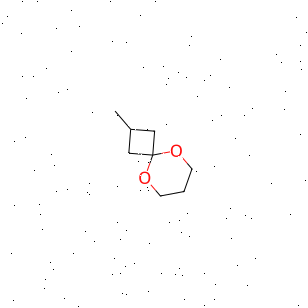 CC1CC2(C1)OCCCO2